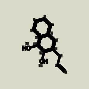 C=CCc1cc2ccccc2c(O)c1O